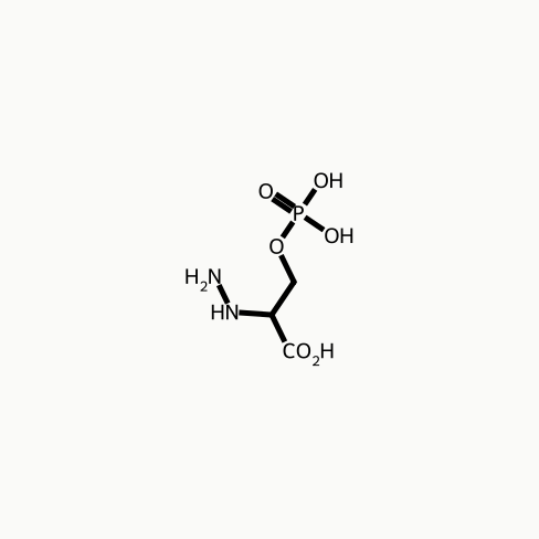 NNC(COP(=O)(O)O)C(=O)O